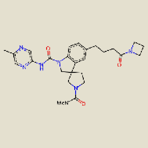 CNC(=O)N1CCC2(C1)CN(C(=O)Nc1cnc(C)cn1)c1ccc(CCCC(=O)N3CCC3)cc12